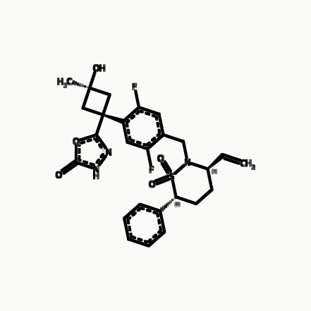 C=C[C@H]1CC[C@H](c2ccccc2)S(=O)(=O)N1Cc1cc(F)c([C@]2(c3n[nH]c(=O)o3)C[C@](C)(O)C2)cc1F